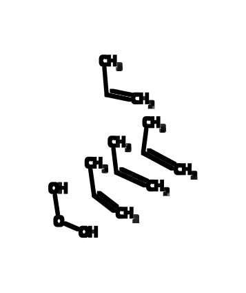 C=CC.C=CC.C=CC.C=CC.OOO